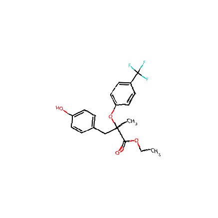 CCOC(=O)C(C)(Cc1ccc(O)cc1)Oc1ccc(C(F)(F)F)cc1